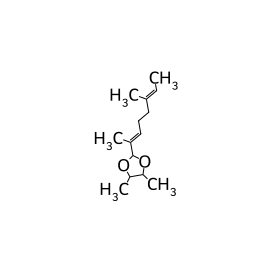 C/C=C(\C)CC/C=C(\C)C1OC(C)C(C)O1